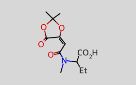 CCC(C(=O)O)N(C)C(=O)C=C1OC(C)(C)OC1=O